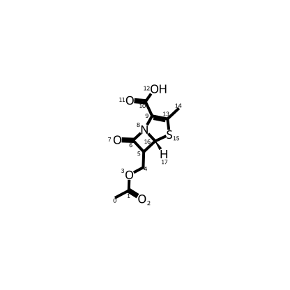 CC(=O)OCC1C(=O)N2C(C(=O)O)=C(C)S[C@H]12